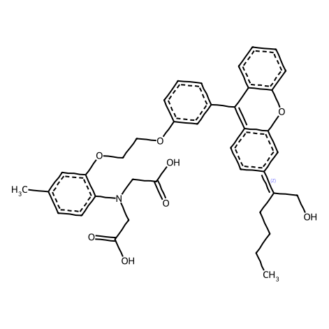 CCCC/C(CO)=c1\ccc2c(c1)Oc1ccccc1C=2c1cccc(OCCOc2cc(C)ccc2N(CC(=O)O)CC(=O)O)c1